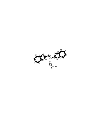 [Cl-].[Cl-].[Zn+2].c1ccc2sc(SSc3nc4ccccc4s3)nc2c1